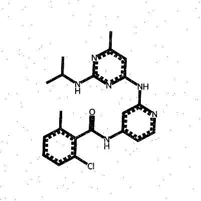 Cc1cc(Nc2cc(NC(=O)c3c(C)cccc3Cl)ccn2)nc(NC(C)C)n1